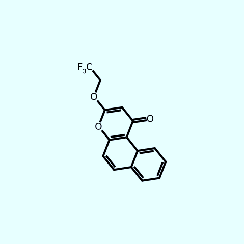 O=c1cc(OCC(F)(F)F)oc2ccc3ccccc3c12